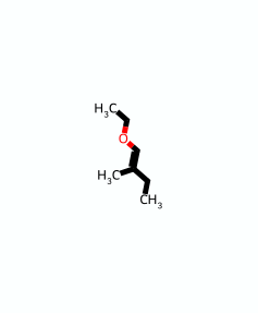 CCO/C=C(\C)CC